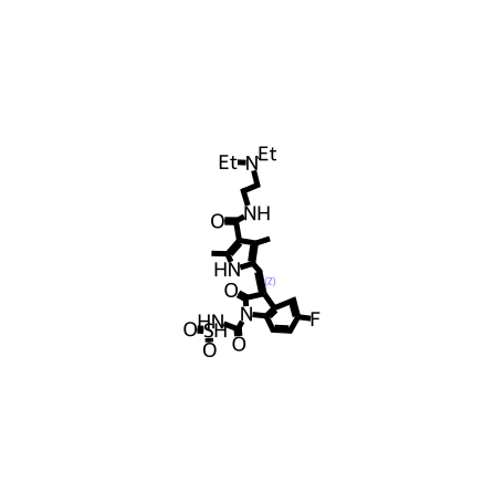 CCN(CC)CCNC(=O)c1c(C)[nH]c(/C=C2\C(=O)N(C(=O)N[SH](=O)=O)c3ccc(F)cc32)c1C